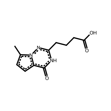 Cc1ccc2c(=O)[nH]c(CCCC(=O)O)nn12